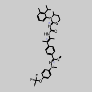 C=N/C(=N\N(C)c1ccc(OC(F)(F)F)cc1)c1ccc(/C(C)=C(\C)NC(=O)/N=C2\SCCC(C)N2c2cccc(C)c2C(C)C)cc1